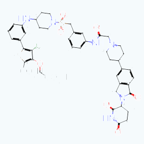 O=C(O)COc1c(C(=O)O)sc(-c2cccc(NC3CCN(S(=O)(=O)Cc4cccc(NC(=O)CN5CCC(c6ccc7c(c6)CN(C6CCC(=O)NC6=O)C7=O)CC5)c4)CC3)c2)c1Cl